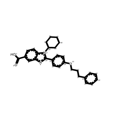 O=C(O)c1ccc2c(c1)nc(-c1ccc(OCCCc3ccccc3)cc1)n2C1CCCCC1